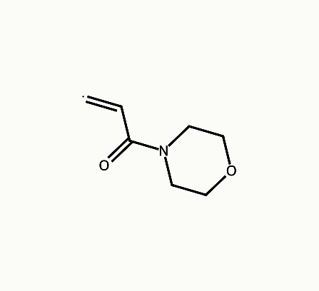 [CH]=CC(=O)N1CCOCC1